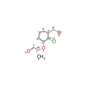 C[C@H](C=O)Oc1cccc(CBr)c1Cl